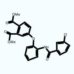 COC(=O)c1ccc(Oc2ccccc2NC(=O)c2cccc(Cl)c2)cc1C(=O)OC